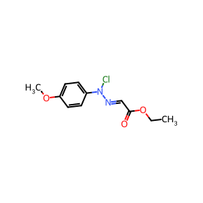 CCOC(=O)C=NN(Cl)c1ccc(OC)cc1